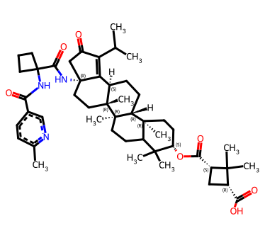 Cc1ccc(C(=O)NC2(C(=O)N[C@@]34CC[C@]5(C)[C@H](CC[C@@H]6[C@@]7(C)CC[C@H](OC(=O)[C@H]8C[C@@H](C(=O)O)C8(C)C)C(C)(C)C7CC[C@]65C)C3=C(C(C)C)C(=O)C4)CCC2)cn1